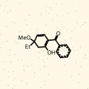 CCC1(OC)C=CC(C(=O)c2ccccc2)=C(O)C1